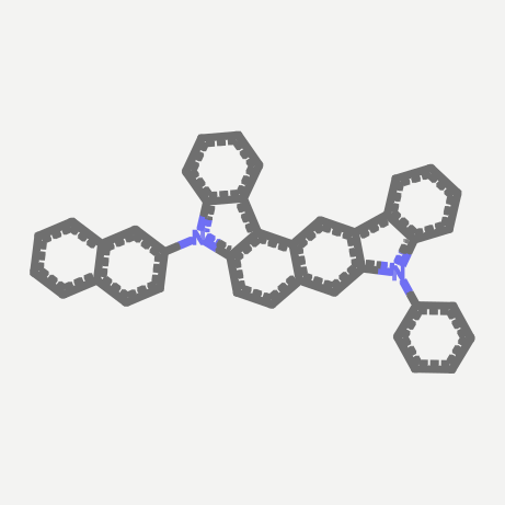 c1ccc(-n2c3ccccc3c3cc4c(ccc5c4c4ccccc4n5-c4ccc5ccccc5c4)cc32)cc1